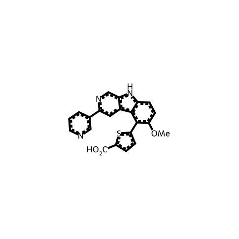 COc1ccc2[nH]c3cnc(-c4cccnc4)cc3c2c1-c1ccc(C(=O)O)s1